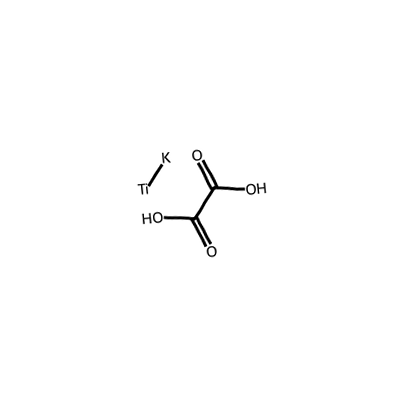 O=C(O)C(=O)O.[K][Ti]